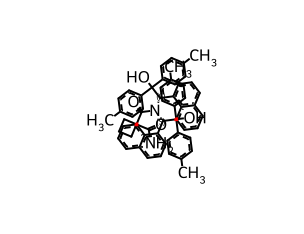 Cc1ccc(C(O)(c2ccc(C)cc2)[C@H](c2cccc3ccccc23)N(C(=O)C2(C(N)=O)CCC2)[C@@H](c2cccc3ccccc23)C(O)(c2ccc(C)cc2)c2ccc(C)cc2)cc1